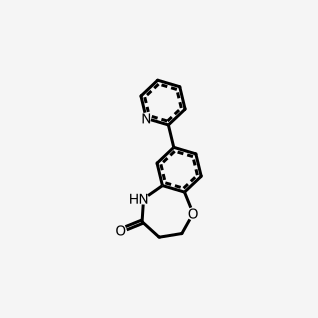 O=C1CCOc2ccc(-c3ccccn3)cc2N1